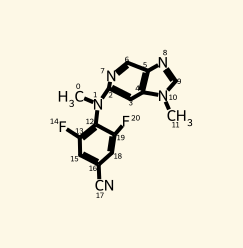 CN(c1cc2c(cn1)ncn2C)c1c(F)cc(C#N)cc1F